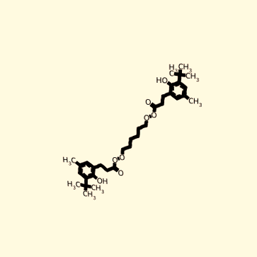 Cc1cc(CCC(=O)OOCCCCCCOOC(=O)CCc2cc(C)cc(C(C)(C)C)c2O)c(O)c(C(C)(C)C)c1